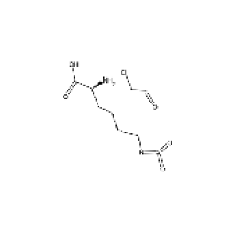 N[C@@H](CCCCN=S(=O)=O)C(=O)O.O=CCCl